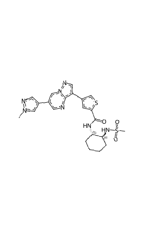 Cn1cc(-c2cnc3c(-c4csc(C(=O)N[C@H]5CCCC[C@@H]5NS(C)(=O)=O)c4)cnn3c2)cn1